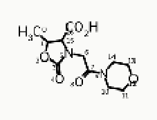 CC1OC(=O)N(CC(=O)N2CCOCC2)C1C(=O)O